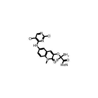 BC(B)(Oc1cc2cc(Nc3nc(Cl)ncc3Cl)ccc2n(C)c1=O)C(=O)NC